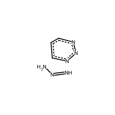 N=NN.c1cnnnc1